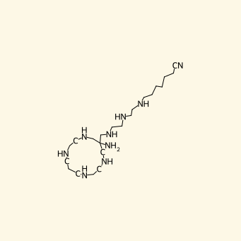 N#CCCCCCCNCCNCCNCC1(N)CNCCNCCCNCCNC1